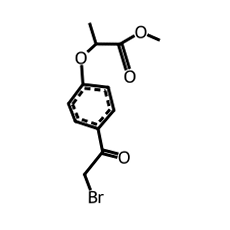 COC(=O)C(C)Oc1ccc(C(=O)CBr)cc1